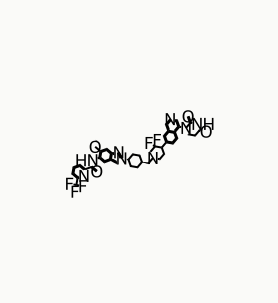 COc1cc2nn([C@H]3CC[C@H](CN4CCC(c5ccc6c(N7CCC(=O)NC7=O)cncc6c5)C(F)(F)C4)CC3)cc2cc1NC(=O)c1cccc(C(F)(F)F)n1